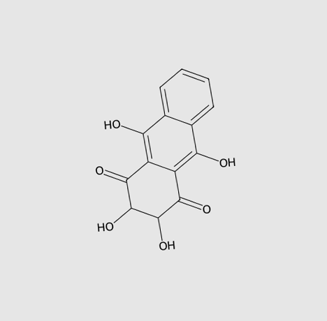 O=C1c2c(c(O)c3ccccc3c2O)C(=O)C(O)C1O